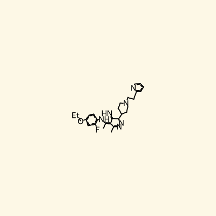 CCOc1ccc(N/C(C)=C2\C(=N)C(C3CCN(CCc4ccccn4)CC3)=NN=C2C)c(F)c1